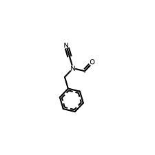 N#CN([C]=O)Cc1ccccc1